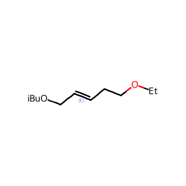 CCOCC/C=C/COCC(C)C